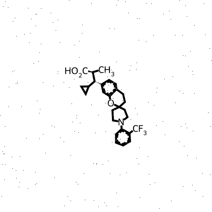 C[C@H](C(=O)O)[C@H](c1ccc2c(c1)OC1(CC2)CCN(c2ccccc2C(F)(F)F)CC1)C1CC1